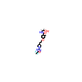 Cc1cc(OCCCC2CCN(c3noc(C(C)(F)F)n3)CC2)ccc1C(=O)N[C@H](C)[C@H](C)O